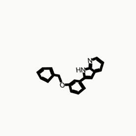 c1ccc(COc2cccc(-c3cc4cccnc4[nH]3)c2)cc1